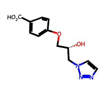 O=C(O)c1ccc(OC[C@H](O)Cn2ccnn2)cc1